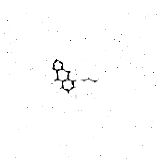 NCCCOc1cc(O)c(O)c2c1C(=O)c1ccccc1C2=O